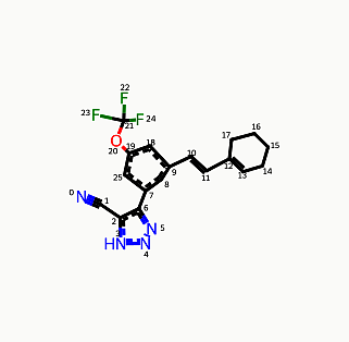 N#Cc1[nH]nnc1-c1cc(/C=C/C2=CCCCC2)cc(OC(F)(F)F)c1